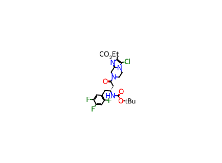 CCOC(=O)c1nc2n(c1Cl)CCN(C(=O)C[C@@H](Cc1cc(F)c(F)cc1F)NC(=O)OC(C)(C)C)C2